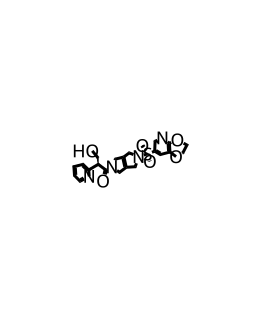 O=C([C@H](CO)c1ccccn1)N1CC2=C(C1)CN(S(=O)(=O)c1cnc3c(c1)OCCO3)C2